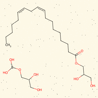 CCCCC/C=C\C/C=C\CCCCCCCC(=O)OCC(O)CO.OCC(O)COB(O)O